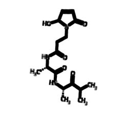 CC(C)C(=O)[C@H](C)NC(=O)[C@H](C)NC(=O)CCN1C(=O)C=CC1O